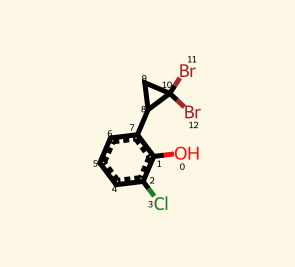 Oc1c(Cl)cccc1C1CC1(Br)Br